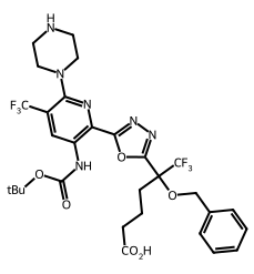 CC(C)(C)OC(=O)Nc1cc(C(F)(F)F)c(N2CCNCC2)nc1-c1nnc(C(CCCC(=O)O)(OCc2ccccc2)C(F)(F)F)o1